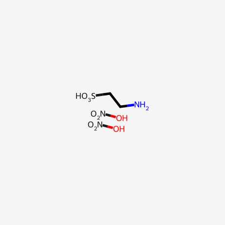 NCCS(=O)(=O)O.O=[N+]([O-])O.O=[N+]([O-])O